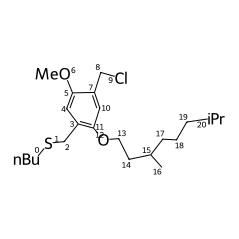 CCCCSCc1cc(OC)c(CCl)cc1OCCC(C)CCCC(C)C